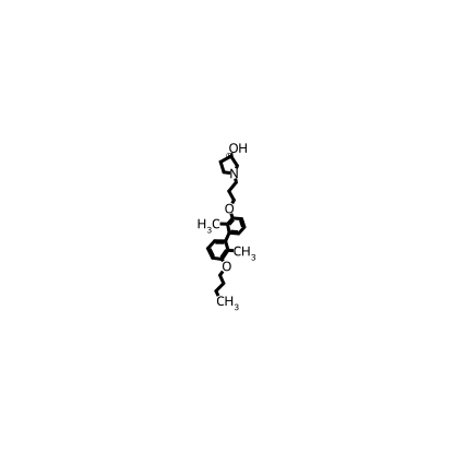 CCCCOc1cccc(-c2cccc(OCCCN3CC[C@@H](O)C3)c2C)c1C